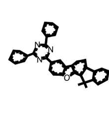 CC1(C)c2ccccc2-c2ccc3c(oc4ccc(-c5nc(-c6ccccc6)nc(-c6ccccc6)n5)cc43)c21